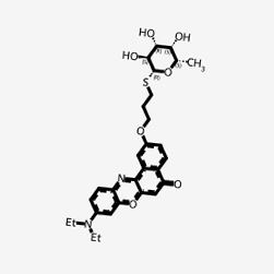 CCN(CC)c1ccc2nc3c4cc(OCCCS[C@H]5O[C@@H](C)[C@@H](O)[C@@H](O)[C@@H]5O)ccc4c(=O)cc-3oc2c1